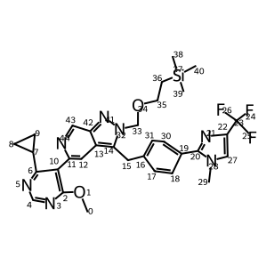 COc1ncnc(C2CC2)c1-c1cc2c(Cc3ccc(-c4nc(C(F)(F)F)cn4C)cc3)n(COCC[Si](C)(C)C)nc2cn1